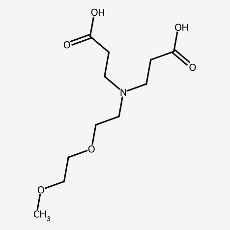 COCCOCCN(CCC(=O)O)CCC(=O)O